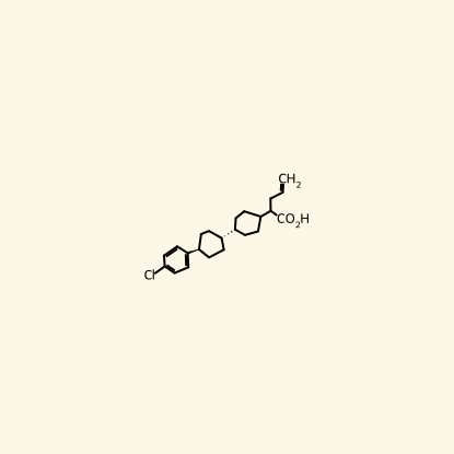 C=CCC(C(=O)O)C1CCC([C@H]2CC[C@H](c3ccc(Cl)cc3)CC2)CC1